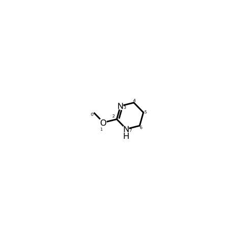 COC1=NCCCN1